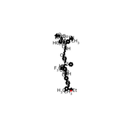 CCC12CC(C3=C(CN4CCN(c5ccc(C(=O)NS(=O)(=O)c6ccc(N[C@H](CCN7CCN(C(=O)CCCCNC(=O)C[C@H](NC(=O)[C@@H]8C[C@@H](O)CN8C(=O)[C@@H](NC(=O)C8(F)CC8)C(C)(C)C)c8ccc(-c9scnc9C)cc8)CC7)CSc7ccccc7)c(S(=O)(=O)C(F)(F)F)c6)cc5)CC4)CCC(C)(C)C3)(C1)C2